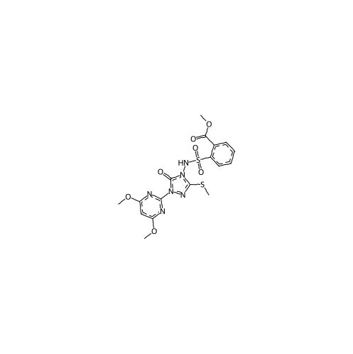 COC(=O)c1ccccc1S(=O)(=O)Nn1c(SC)nn(-c2nc(OC)cc(OC)n2)c1=O